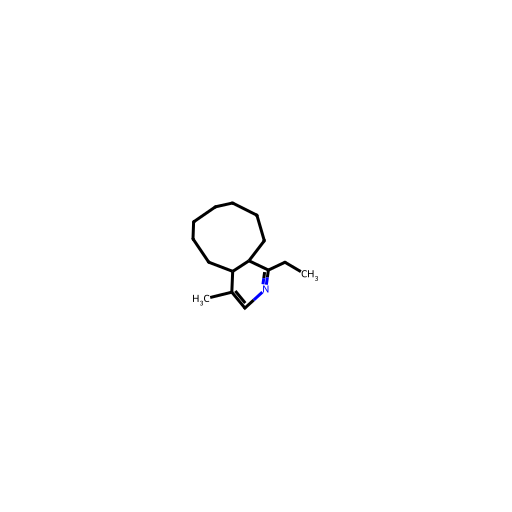 CCC1=NC=C(C)C2CCCCCCCC12